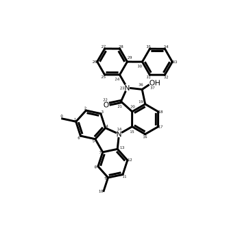 Cc1ccc2c(c1)c1cc(C)ccc1n2-c1cccc2c1C(=O)N(c1ccccc1-c1ccccc1)C2O